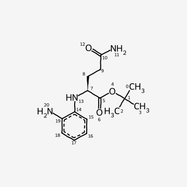 CC(C)(C)OC(=O)[C@H](CCC(N)=O)Nc1ccccc1N